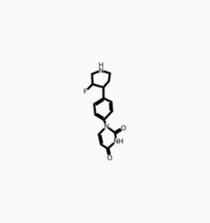 O=c1ccn(-c2ccc(C3CCNCC3F)cc2)c(=O)[nH]1